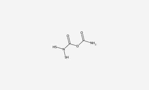 NC(=O)OC(=O)N(S)S